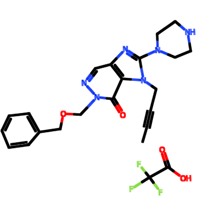 CC#CCn1c(N2CCNCC2)nc2cnn(COCc3ccccc3)c(=O)c21.O=C(O)C(F)(F)F